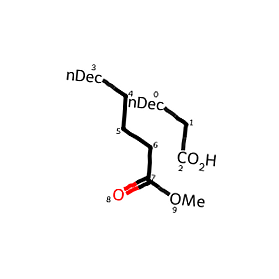 CCCCCCCCCCCC(=O)O.CCCCCCCCCCCCCC(=O)OC